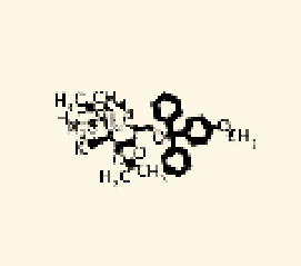 C#CC(O[Si](C)(C)C(C)(C)C)[C@@H]1OC(C)(C)O[C@@H]1C(=C)COC(c1ccccc1)(c1ccccc1)c1ccc(OC)cc1